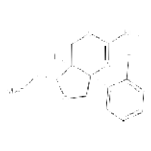 COC[C@H]1OC[C@]2(c3ccccc3F)N=C(N)SC[C@H]12